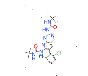 CC(C)(C)NC(=O)Nc1ncc2cc(-c3c(Cl)cccc3Cl)c(NC(=O)NC(C)(C)C)nc2n1